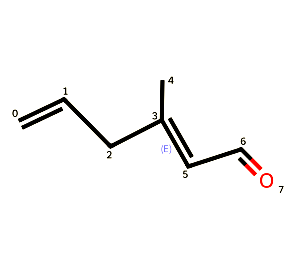 C=CC/C(C)=C/C=O